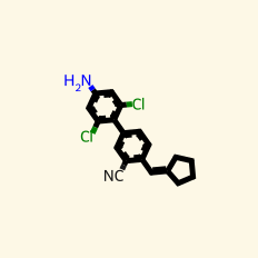 N#Cc1cc(-c2c(Cl)cc(N)cc2Cl)ccc1C=C1CCCC1